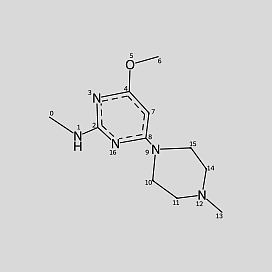 CNc1nc(OC)cc(N2CCN(C)CC2)n1